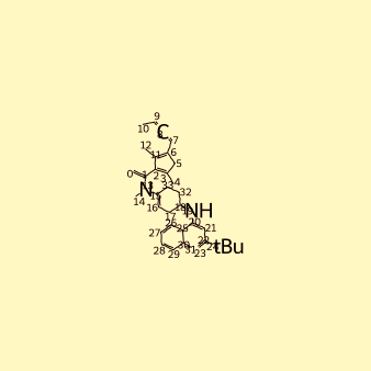 C=C(C1=C(C)CC(C=C=CC)=C1C)N(C)C1=CCC(N/C(=C/C(=C)C(C)(C)C)C2C=CC=CC2C)CC1